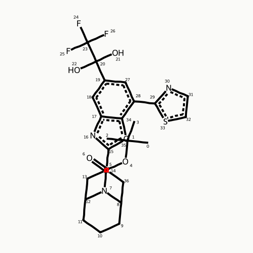 CC(C)(C)OC(=O)N1C2CCCC1CN(c1nc3cc(C(O)(O)C(F)(F)F)cc(-c4nccs4)c3o1)C2